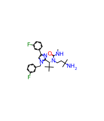 CNC(=O)N(CCC(C)(C)N)[C@@H](c1nc(-c2cccc(F)c2)cn1Cc1cccc(F)c1)C(C)(C)C